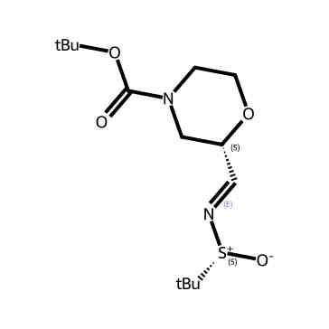 CC(C)(C)OC(=O)N1CCO[C@H](/C=N/[S@+]([O-])C(C)(C)C)C1